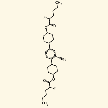 CCCCC(F)C(=O)OC1CCC(c2ccc(C3CCC(OC(=O)C(F)CCCC)CC3)c(C#N)c2)CC1